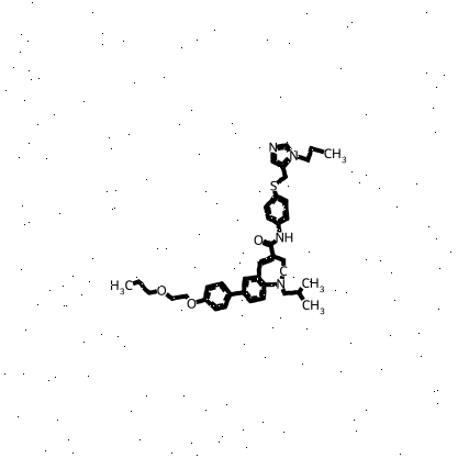 CCCOCCOc1ccc(-c2ccc3c(c2)C=C(C(=O)Nc2ccc(SCc4cncn4CCC)cc2)CCN3CC(C)C)cc1